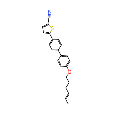 C/C=C/CCCOc1ccc(-c2ccc(-c3ccc(C#N)s3)cc2)cc1